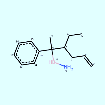 C=CCC(CC)C(C)(BN)c1ccccc1